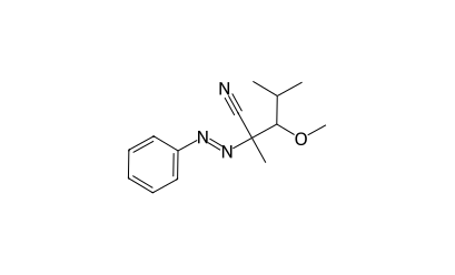 COC(C(C)C)C(C)(C#N)N=Nc1ccccc1